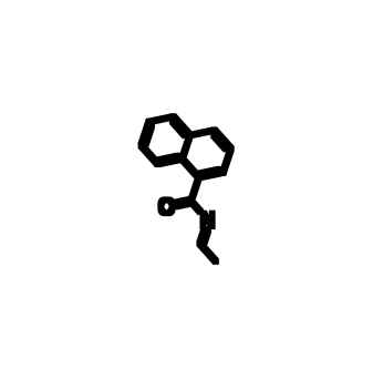 C/C=N/C(=O)c1cccc2ccccc12